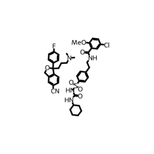 CN(C)CCCC1(c2ccc(F)cc2)OCc2cc(C#N)ccc21.COc1ccc(Cl)cc1C(=O)NCCc1ccc(S(=O)(=O)NC(=O)NC2CCCCC2)cc1